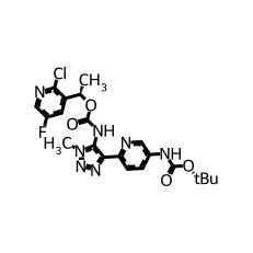 C[C@@H](OC(=O)Nc1c(-c2ccc(NC(=O)OC(C)(C)C)cn2)nnn1C)c1cc(F)cnc1Cl